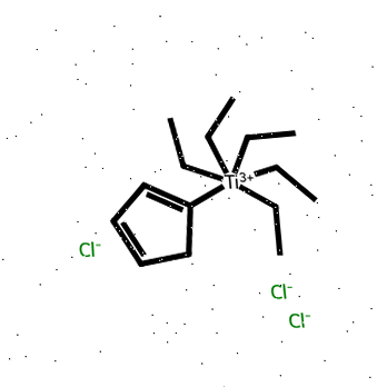 C[CH2][Ti+3]([CH2]C)([CH2]C)([CH2]C)([CH2]C)[C]1=CC=CC1.[Cl-].[Cl-].[Cl-]